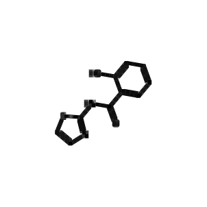 O=C(Nc1nccs1)c1ccccc1O